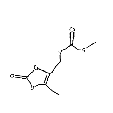 CSC(=O)OCc1oc(=O)oc1C